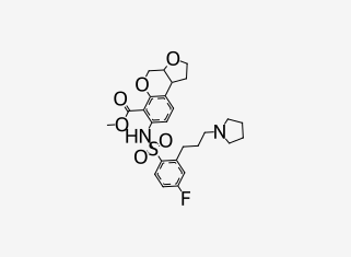 COC(=O)c1c(NS(=O)(=O)c2ccc(F)cc2CCCN2CCCC2)ccc2c1OCC1OCCC21